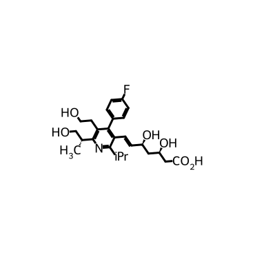 CC(C)c1nc([C@H](C)CO)c(CCO)c(-c2ccc(F)cc2)c1/C=C/[C@@H](O)C[C@@H](O)CC(=O)O